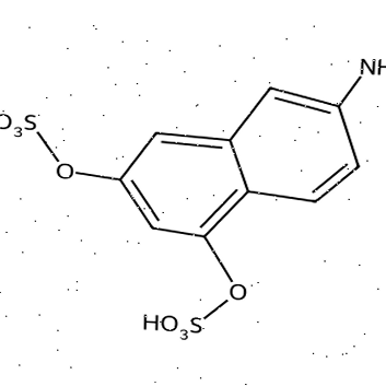 Nc1ccc2c(OS(=O)(=O)O)cc(OS(=O)(=O)O)cc2c1